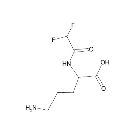 NCCCC(NC(=O)C(F)F)C(=O)O